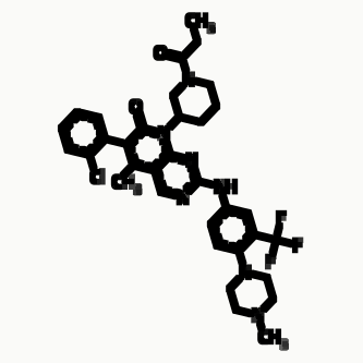 CCC(=O)N1CCCC(n2c(=O)c(-c3ccccc3Cl)c(C)c3cnc(Nc4ccc(N5CCN(C)CC5)c(C(F)(F)F)c4)nc32)C1